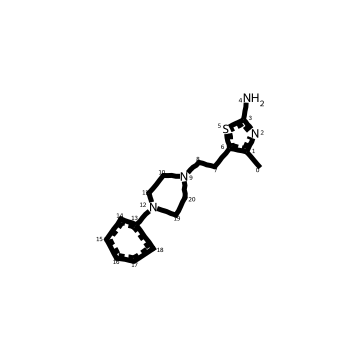 Cc1nc(N)sc1CCN1CCN(c2ccccc2)CC1